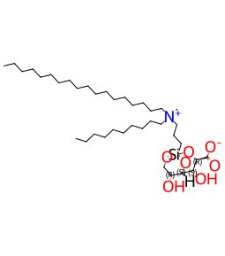 CCCCCCCCCCCCCCCCCC[N+](C)(CCCCCCCCCC)CCC[Si]12OC[C@@H](O)[C@H](O1)[C@H](O)[C@H](C(=O)[O-])O2